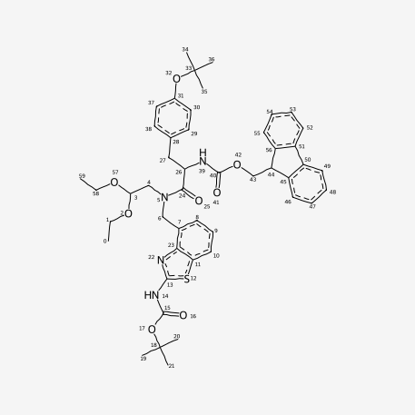 CCOC(CN(Cc1cccc2sc(NC(=O)OC(C)(C)C)nc12)C(=O)C(Cc1ccc(OC(C)(C)C)cc1)NC(=O)OCC1c2ccccc2-c2ccccc21)OCC